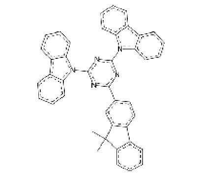 CC1(C)c2ccccc2-c2ccc(-c3nc(-n4c5ccccc5c5ccccc54)nc(-n4c5ccccc5c5ccccc54)n3)cc21